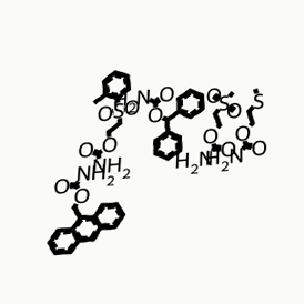 CS(=O)(=O)CCOC(N)=O.CSCCOC(N)=O.Cc1ccccc1S(=O)(=O)CCOC(N)=O.NC(=O)OC(c1ccccc1)c1ccccc1.NC(=O)OCc1c2ccccc2cc2ccccc12